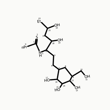 CCCC(=S)NC(CCC1CC(CO)C(O)C(O)C1O)C(O)CC(O)CC